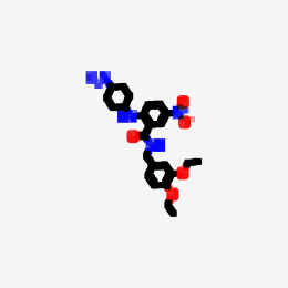 CCOc1ccc(CNC(=O)c2cc([N+](=O)[O-])ccc2NC2CCC(N)CC2)cc1OCC